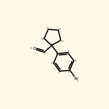 O=CC1(c2ccc(Br)cc2)CCCC1